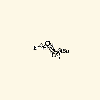 CC(C)(C)OC(=O)c1cn(-c2nc3cccc(COCC[Si](C)(C)C)c3[nH]2)nc1C(F)(F)F